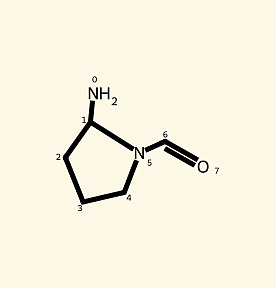 NC1CCCN1[C]=O